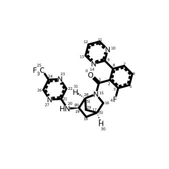 O=C(c1c(F)cccc1-c1ncccn1)N1C[C@H]2C[C@@H](Nc3cnc(C(F)(F)F)cn3)[C@@H]1C2